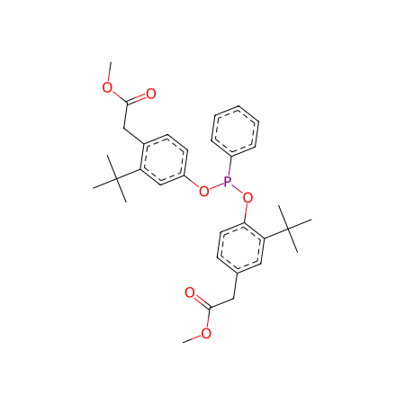 COC(=O)Cc1ccc(OP(Oc2ccc(CC(=O)OC)c(C(C)(C)C)c2)c2ccccc2)c(C(C)(C)C)c1